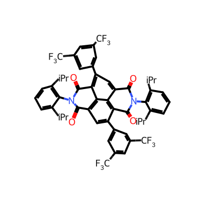 CC(C)c1cccc(C(C)C)c1N1C(=O)c2cc(-c3cc(C(F)(F)F)cc(C(F)(F)F)c3)c3c4c(cc(-c5cc(C(F)(F)F)cc(C(F)(F)F)c5)c(c24)C1=O)C(=O)N(c1c(C(C)C)cccc1C(C)C)C3=O